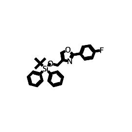 CC(C)(C)[Si](OCc1coc(-c2ccc(F)cc2)n1)(c1ccccc1)c1ccccc1